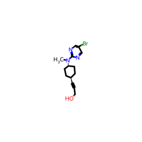 CN(c1ncc(Br)cn1)[C@H]1CC[C@H](C#CCO)CC1